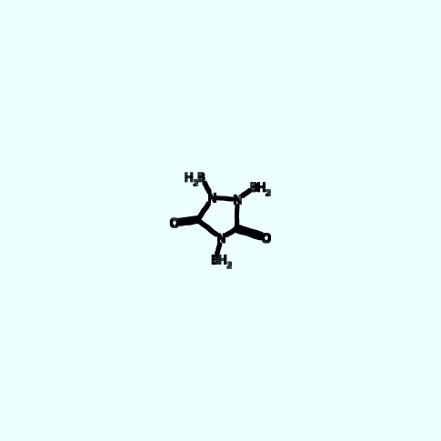 Bn1c(=O)n(B)n(B)c1=O